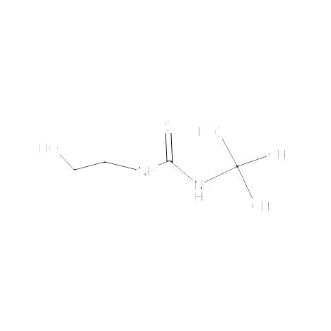 CC(C)(C)NC(=S)NCCO